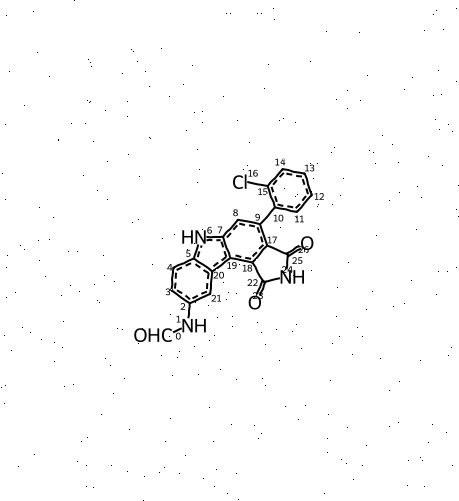 O=CNc1ccc2[nH]c3cc(-c4ccccc4Cl)c4c(c3c2c1)C(=O)NC4=O